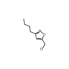 CCCCc1cc(CCl)on1